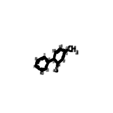 CC1=CC(=S)C(c2ccccc2)C=C1